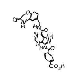 O=C1COc2ccc(CNC(=O)c3ncnc4c(NC(=O)c5ccc(C(=O)O)cc5)n[nH]c34)cc2N1